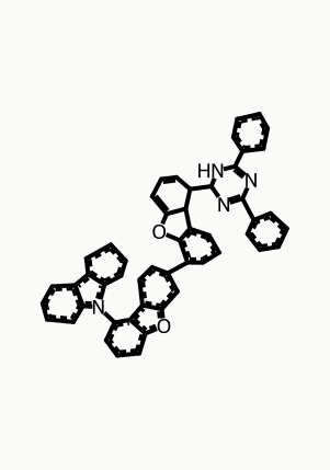 C1=CC(C2N=C(c3ccccc3)N=C(c3ccccc3)N2)C2C(=C1)Oc1c(-c3ccc4c(c3)oc3cccc(-n5c6ccccc6c6ccccc65)c34)cccc12